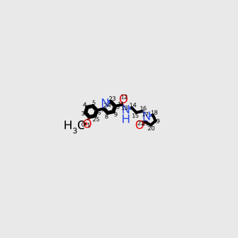 COc1cccc(-c2ccc(C(=O)NCCCN3CCCC3=O)cn2)c1